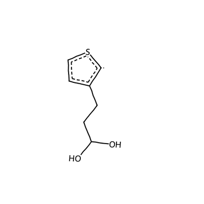 OC(O)CCc1[c]scc1